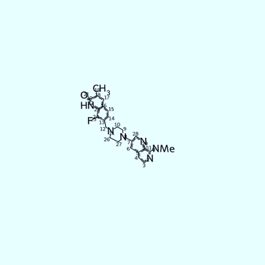 CNc1nccc2cc(N3CCN(Cc4ccc5cc(C)c(=O)[nH]c5c4F)CC3)cnc12